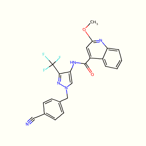 COc1cc(C(=O)Nc2cn(Cc3ccc(C#N)cc3)nc2C(F)(F)F)c2ccccc2n1